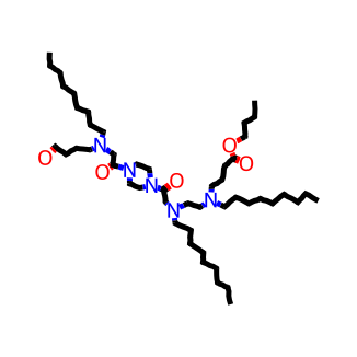 CCCCCCCCCN(CCCC(=O)OCCCC)CCN(CCCCCCCCC)CC(=O)N1CCN(C(=O)CN(CCCC=O)CCCCCCCCC)CC1